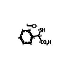 CCl.O=C(O)C(S)c1ccccc1